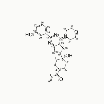 C=CC(=O)N1CCC(O)(c2cc3nc(-c4cccc(O)c4)nc(N4CCOCC4)c3s2)CC1